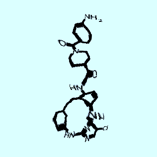 Nc1ccc(C(=O)N2CCC(C(=O)Nc3ccc4cc3CCC3C=CC=C(C3)Nc3ncc(Cl)c(n3)N4)CC2)cc1